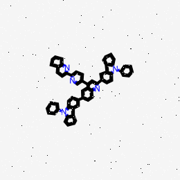 c1ccc(-n2c3ccccc3c3cc(-c4ccc5nc(-c6ccc7c(c6)c6ccccc6n7-c6ccccc6)cc(-c6ccc(-c7ccc8ccccc8n7)nc6)c5c4)ccc32)cc1